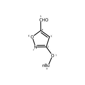 CCCCOc1cc(C=O)on1